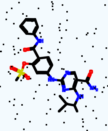 CC(C)C(C)Nc1nc(Nc2ccc(C(=O)Nc3ccccc3)c(OS(C)(=O)=O)c2)ncc1C(N)=O